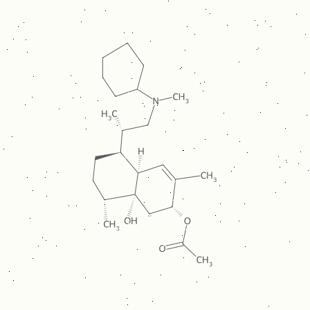 CC(=O)O[C@@H]1[C][C@@]2(O)[C@H](C)CC[C@@H]([C@H](C)CN(C)C3CCCCC3)[C@H]2C=C1C